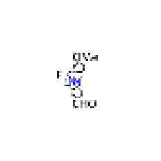 COc1ccc(Cn2nc(C)c3cc(C=O)ccc32)c(C(F)(F)F)c1